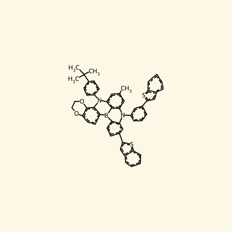 Cc1cc2c3c(c1)N(c1ccc(C(C)(C)C)cc1)c1c(ccc4c1OCCO4)B3c1ccc(-c3cc4ccccc4s3)cc1N2c1cccc(-c2cc3ccccc3s2)c1